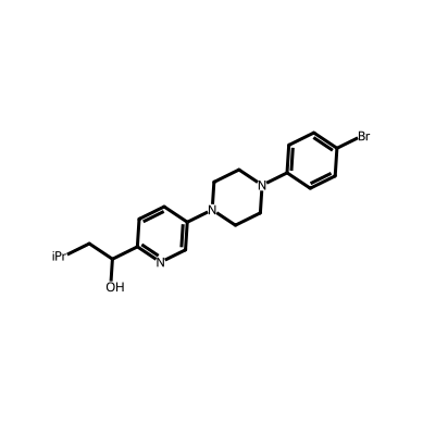 CC(C)CC(O)c1ccc(N2CCN(c3ccc(Br)cc3)CC2)cn1